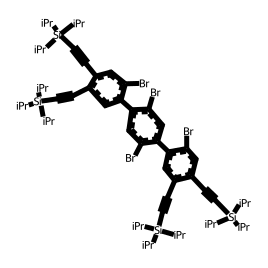 CC(C)[Si](C#Cc1cc(Br)c(-c2cc(Br)c(-c3cc(C#C[Si](C(C)C)(C(C)C)C(C)C)c(C#C[Si](C(C)C)(C(C)C)C(C)C)cc3Br)cc2Br)cc1C#C[Si](C(C)C)(C(C)C)C(C)C)(C(C)C)C(C)C